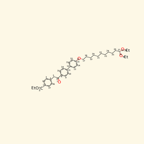 CCOC(=O)c1ccc(CC(=O)c2ccc(-c3ccc(OCCCCCCCCCCC(OCC)OCC)cc3)cc2)cc1